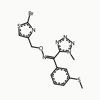 CSc1cccc(C(=NOCc2csc(Br)n2)c2nnnn2C)c1